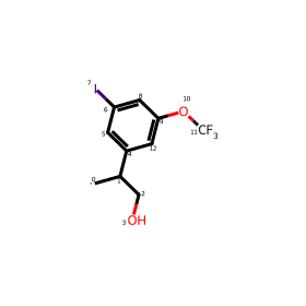 [CH2]C(CO)c1cc(I)cc(OC(F)(F)F)c1